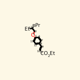 CCCC(CC)COc1ccc(/C=C/C(=O)OCC)cc1